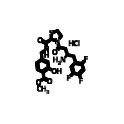 COC(=O)c1ccc(CNC(=O)C2SCCN2C(=O)C[C@H](N)Cc2cc(F)c(F)cc2F)cc1O.Cl